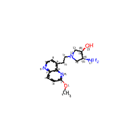 COc1ccc2nccc(CCN3C[C@@H](O)[C@@H](N)C3)c2n1